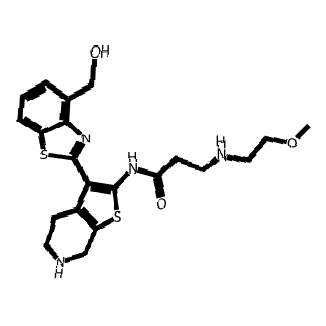 COCCNCCC(=O)Nc1sc2c(c1-c1nc3c(CO)cccc3s1)CCNC2